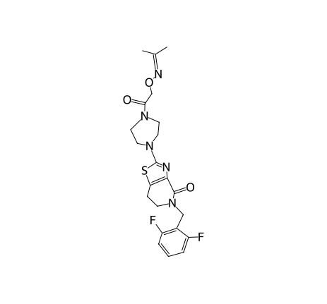 CC(C)=NOCC(=O)N1CCN(c2nc3c(s2)CCN(Cc2c(F)cccc2F)C3=O)CC1